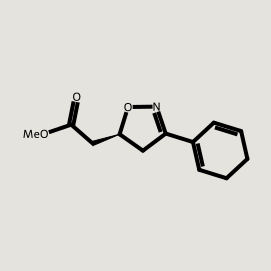 COC(=O)C[C@@H]1CC(C2=CCCC=C2)=NO1